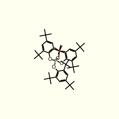 CC(C)(C)c1cc(C(C)(C)C)c(OP(=O)(Oc2c(C(C)(C)C)cc(C(C)(C)C)cc2C(C)(C)C)Oc2c(C(C)(C)C)cc(C(C)(C)C)cc2C(C)(C)C)c(C(C)(C)C)c1